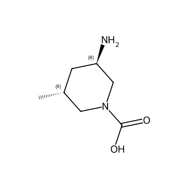 C[C@@H]1C[C@@H](N)CN(C(=O)O)C1